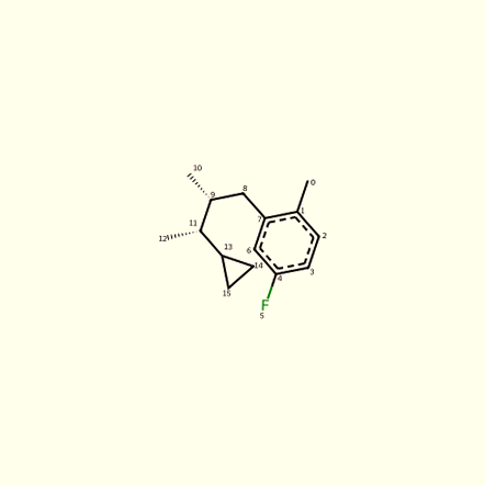 Cc1ccc(F)cc1C[C@@H](C)[C@@H](C)C1CC1